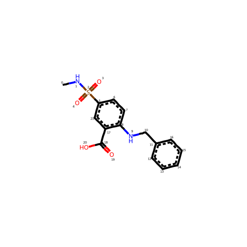 CNS(=O)(=O)c1ccc(NCc2ccccc2)c(C(=O)O)c1